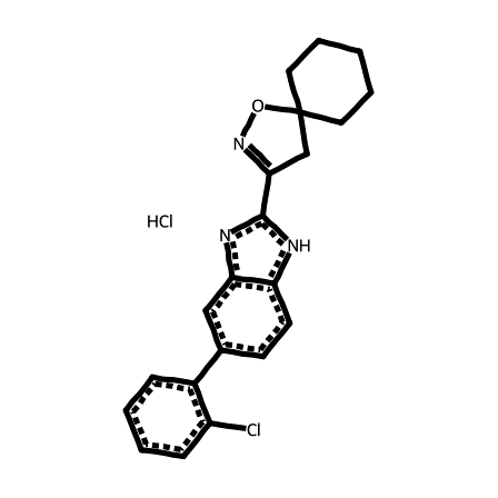 Cl.Clc1ccccc1-c1ccc2[nH]c(C3=NOC4(CCCCC4)C3)nc2c1